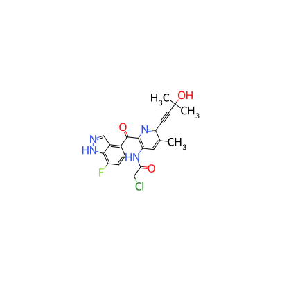 Cc1cc(NC(=O)CCl)c(C(=O)c2ccc(F)c3[nH]ncc23)nc1C#CC(C)(C)O